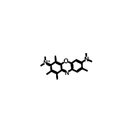 Cc1cc2nc3c(C)c(C)c(=[N+](C)C)c(C)c-3oc2cc1N(C)C